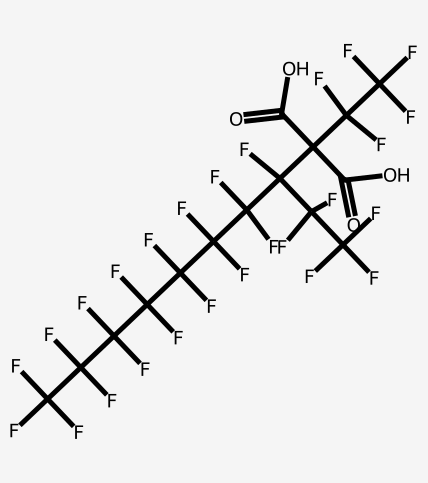 O=C(O)C(C(=O)O)(C(F)(F)C(F)(F)F)C(F)(C(F)(F)C(F)(F)F)C(F)(F)C(F)(F)C(F)(F)C(F)(F)C(F)(F)C(F)(F)C(F)(F)F